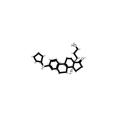 O=C1CC[C@H]2C3=C(CC[C@]12CCCO)c1ccc(OC2CCCC2)cc1CC3